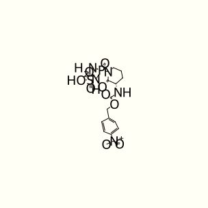 N[P@](=O)(NS(=O)(=O)O)N1CCC[C@H](NC(=O)OCc2ccc([N+](=O)[O-])cc2)C1=O